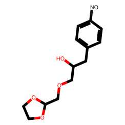 O=Nc1ccc(CC(O)COCC2OCCO2)cc1